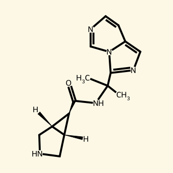 CC(C)(NC(=O)[C@H]1[C@@H]2CNC[C@@H]21)c1ncc2ccncn12